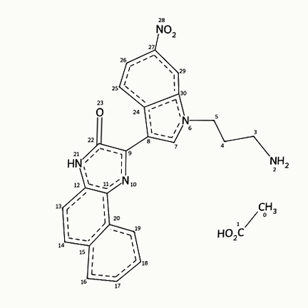 CC(=O)O.NCCCn1cc(-c2nc3c(ccc4ccccc43)[nH]c2=O)c2ccc([N+](=O)[O-])cc21